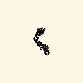 NC1(CNC(=O)Nc2ccc(CC3CCN(Cc4ccc(C(O)(C(F)(F)F)C(F)(F)F)cc4)CC3)cc2)CCOCC1